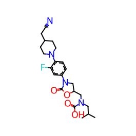 CC(C)CN(CC1CN(c2ccc(N3CCC(CC#N)CC3)c(F)c2)C(=O)O1)C(=O)O